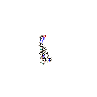 Cc1c(-c2nc3cc(CN4CCC[C@H]4C(=O)O)c(OC(F)F)cc3o2)cccc1-c1cccc(-c2ccc(CNC[C@@H]3CCC(=O)N3)cc2)c1F